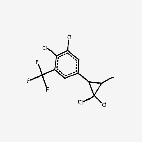 CC1C(c2cc(Cl)c(Cl)c(C(F)(F)F)c2)C1(Cl)Cl